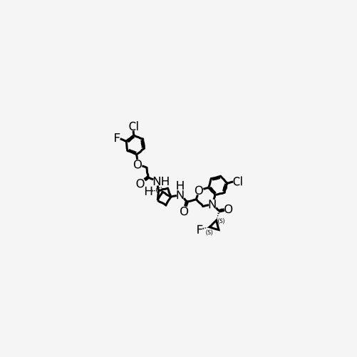 O=C(COc1ccc(Cl)c(F)c1)N[C@H]1CC2(NC(=O)C3CN(C(=O)[C@@H]4C[C@@H]4F)c4cc(Cl)ccc4O3)CC1C2